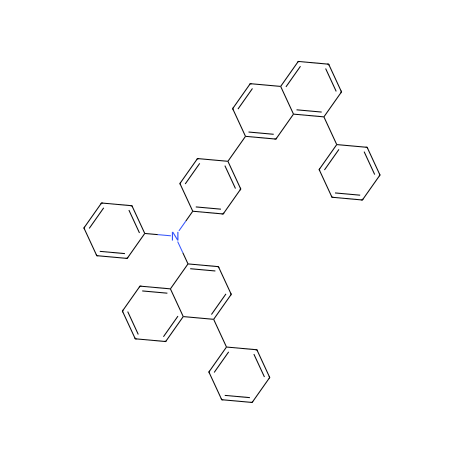 c1ccc(-c2cccc3ccc(-c4ccc(N(c5ccccc5)c5ccc(-c6ccccc6)c6ccccc56)cc4)cc23)cc1